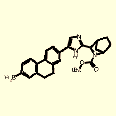 Bc1ccc2c(c1)CCc1cc(-c3cnc(C4C5CCC(C5)N4C(=O)OC(C)(C)C)[nH]3)ccc1-2